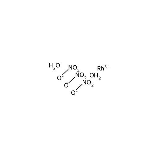 O.O.O=[N+]([O-])[O-].O=[N+]([O-])[O-].O=[N+]([O-])[O-].[Rh+3]